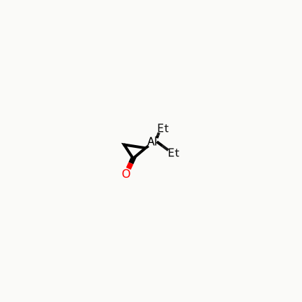 C[CH2][Al]([CH2]C)[CH]1CC1=O